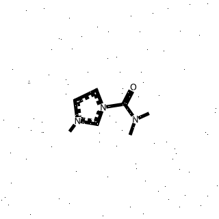 CN(C)C(=O)n1cc[n+](C)c1